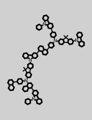 CC1(C)c2cc(N(c3ccc(-c4ccc5c6ccccc6n(-c6ccccc6)c5c4)cc3)c3ccc(-c4cccc5c(-c6ccc7c(c6)c6ccccc6n7-c6ccc7c(c6)C(C)(C)c6cc(N(c8ccc(-c9cccc%10ccccc9%10)cc8)c8ccc(-c9ccc%10c%11ccccc%11n(-c%11ccccc%11)c%10c9)c9ccccc89)ccc6-7)cccc45)cc3)ccc2-c2ccc(-n3c4ccccc4c4ccccc43)cc21